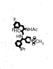 CC(=O)NC(Cc1cc(F)cc(F)c1)C(O)CNC(c1cccc(C(C)C)c1)C1CCN(S(C)(=O)=O)CC1